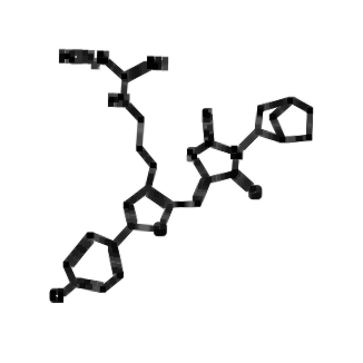 Cl.N=C(N)NCCCc1cc(-c2ccc(Cl)cc2)oc1C=C1SC(=S)N(C2CC3CCC2C3)C1=O